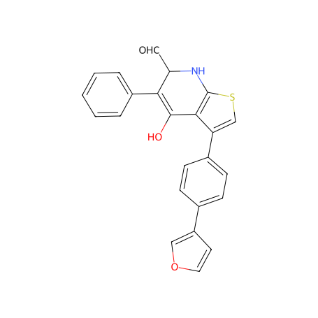 O=CC1Nc2scc(-c3ccc(-c4ccoc4)cc3)c2C(O)=C1c1ccccc1